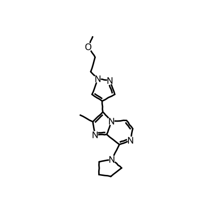 COCCn1cc(-c2c(C)nc3c(N4CCCC4)nccn23)cn1